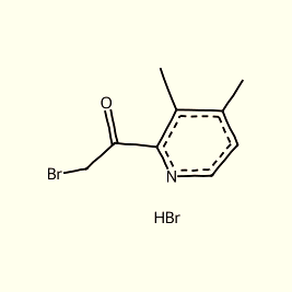 Br.Cc1ccnc(C(=O)CBr)c1C